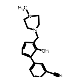 CN1CCN(Cc2cccc(-c3cccc(C#N)c3)c2O)CC1